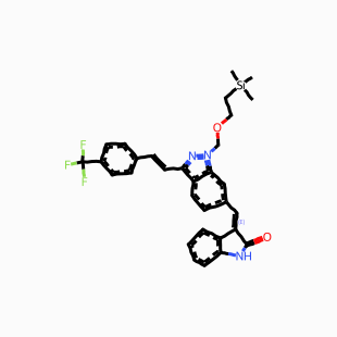 C[Si](C)(C)CCOCn1nc(C=Cc2ccc(C(F)(F)F)cc2)c2ccc(/C=C3/C(=O)Nc4ccccc43)cc21